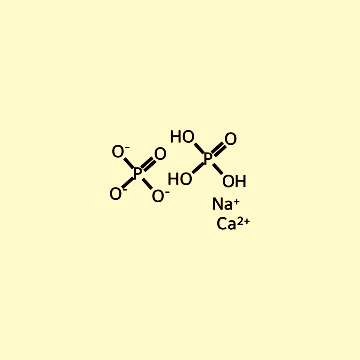 O=P(O)(O)O.O=P([O-])([O-])[O-].[Ca+2].[Na+]